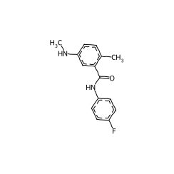 CNc1ccc(C)c(C(=O)Nc2ccc(F)cc2)c1